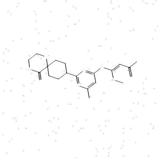 C=C(C)/C=C(\NC)Nc1cc(C)nc(C2CCC3(CC2)OCCNC3=O)n1